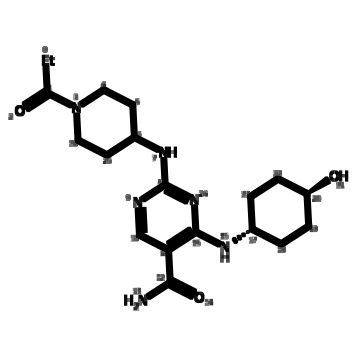 CCC(=O)N1CCC(Nc2ncc(C(N)=O)c(N[C@H]3CC[C@H](O)CC3)n2)CC1